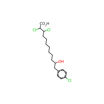 O=C(O)C(Cl)C(Cl)CCCCCCCC(O)Cc1ccc(Cl)cc1